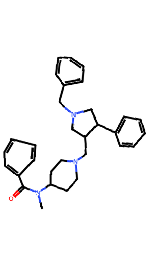 CN(C(=O)c1ccccc1)C1CCN(CC2CN(Cc3ccccc3)CC2c2ccccc2)CC1